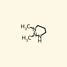 CN1CCCNN1C